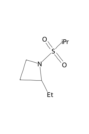 CCC1CCN1S(=O)(=O)C(C)C